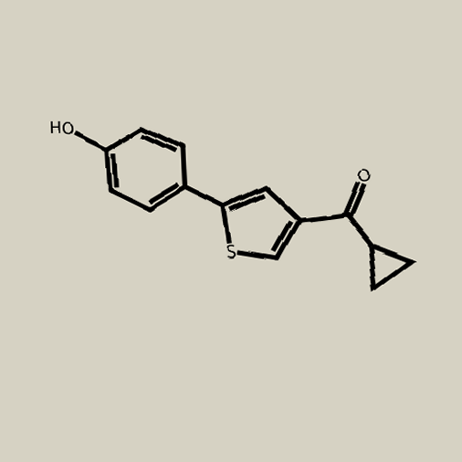 O=C(c1csc(-c2ccc(O)cc2)c1)C1CC1